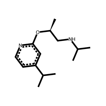 CC(C)NC[C@H](C)Oc1cc(C(C)C)ccn1